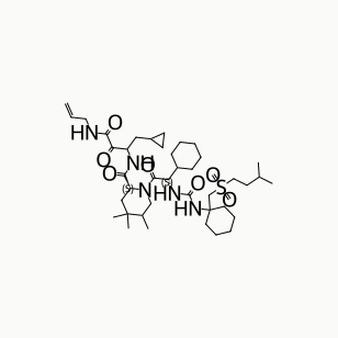 C=CCNC(=O)C(=O)C(CC1CC1)NC(=O)[C@@H]1CC(C)(C)C(C)CN1C(=O)[C@@H](NC(=O)NC1(CS(=O)(=O)CCC(C)C)CCCCC1)C1CCCCC1